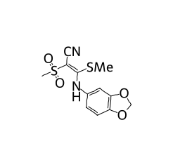 CS/C(Nc1ccc2c(c1)OCO2)=C(\C#N)S(C)(=O)=O